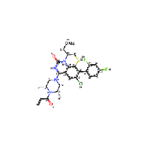 C=CC(=O)N1[C@H](C)CN(c2nc(=O)n3c4c(c(-c5ccc(F)cc5F)c(Cl)cc24)SCC3COC)C[C@@H]1C